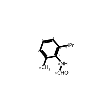 Cc1cccc(C(C)C)c1N[C]=O